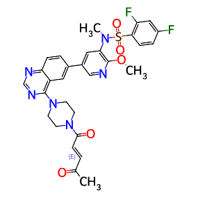 COc1ncc(-c2ccc3ncnc(N4CCN(C(=O)/C=C/C(C)=O)CC4)c3c2)cc1N(C)S(=O)(=O)c1ccc(F)cc1F